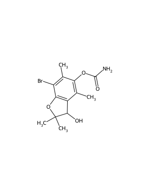 Cc1c(Br)c2c(c(C)c1OC(N)=O)C(O)C(C)(C)O2